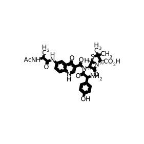 CC(=O)NC(C)C(=O)Nc1ccc2[nH]cc(C(=O)N(C(=O)C(N)c3ccc(O)cc3)[C@@H]3C(=O)N4[C@@H]3SC(C)(C)[C@@H]4C(=O)O)c(=O)c2c1